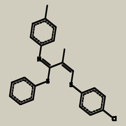 CC(=CSc1ccc(Cl)cc1)C(=Nc1ccc(C)cc1)Sc1ccccc1